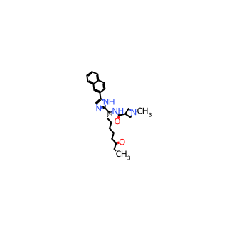 CCC(=O)CCCCC[C@@H](NC(=O)C1CN(C)C1)c1ncc(-c2ccc3ccccc3c2)[nH]1